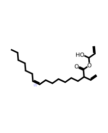 C=CC(O)OC(=O)C(C=C)CCCCCC/C=C\CCCCCC